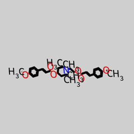 COc1ccc(/C=C/C(=O)OCCN2C(C)(C)CC(OC(=O)/C=C/c3ccc(OC)cc3)CC2(C)C)cc1